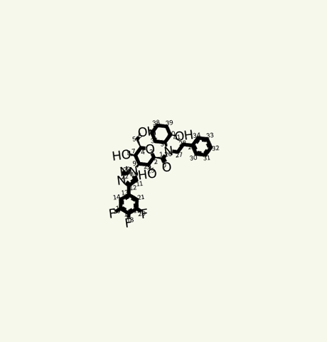 O=C([C@@H]1O[C@H](CO)[C@H](O)[C@H](n2cc(-c3cc(F)c(F)c(F)c3)nn2)[C@H]1O)N(CCc1ccccc1)[C@H]1CCCC[C@@H]1O